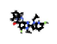 Cn1c(-c2cc3ccc(F)nc3n2CC2CC2)nc2cc(C(=O)N3C[C@H]4CC[C@@H]3[C@@H]4N)cc(F)c21